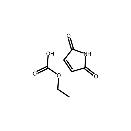 CCOC(=O)O.O=C1C=CC(=O)N1